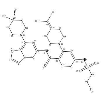 O=C(Nc1cc2ccoc2c(N2CCC(F)(F)CC2)n1)c1ccc(NS(=O)(=O)CCF)cc1N1CCC(=C(F)F)CC1